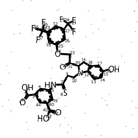 O=C(O)c1cc(NC(=S)CCN2c3ccc(O)cc3CC2C(=O)COc2cc(C(F)(F)F)cc(C(F)(F)F)c2)cc(C(=O)O)c1